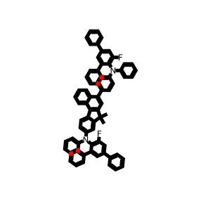 CC1(C)c2cc(N(c3ccccc3)c3c(F)cc(-c4ccccc4)cc3-c3ccccc3)ccc2-c2c1cc(-c1ccc(N(c3ccccc3)c3c(F)cc(-c4ccccc4)cc3-c3ccccc3)cc1)c1ccccc21